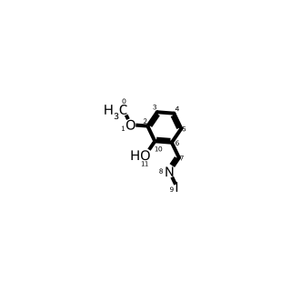 COc1cccc(/C=N/I)c1O